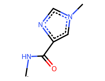 [CH2]NC(=O)c1cn(C)cn1